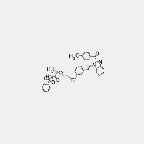 Cc1ccc(C(=O)c2nc3ccccc3n2/C=C/c2cccc(/C=C\CCO[C@@H](C)C(=O)NS(=O)(=O)c3ccccc3)c2)cc1